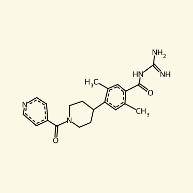 Cc1cc(C2CCN(C(=O)c3ccncc3)CC2)c(C)cc1C(=O)NC(=N)N